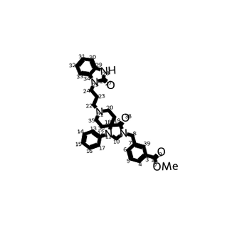 COC(=O)c1cccc(CN2CN(c3ccccc3)C3(CCN(CCCn4c(=O)[nH]c5ccccc54)CC3)C2=O)c1